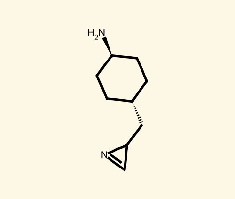 N[C@H]1CC[C@H](CC2C=N2)CC1